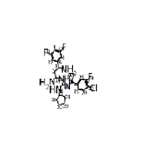 NC(CC(N)c1cc(F)cc(F)c1)N/C(=N\C(=O)c1ccc(Cl)c(F)c1)NC1CCCC1